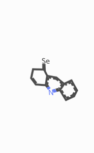 [Se]=C1CC=Cc2nc3ccccc3cc21